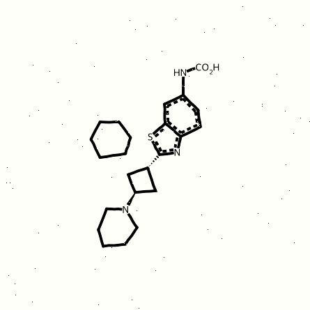 C1CCCCC1.O=C(O)Nc1ccc2nc([C@H]3C[C@H](N4CCCCC4)C3)sc2c1